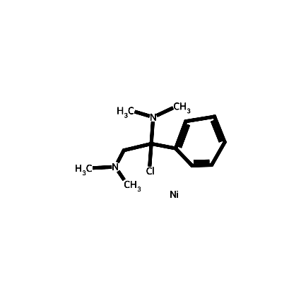 CN(C)CC(Cl)(c1ccccc1)N(C)C.[Ni]